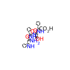 N[C@H](Cc1c[nH]c2ccccc12)C(=O)N[C@@H](Cc1ccccc1)C(=O)N1C[C@H](O)C[C@@H]1C(=O)N[C@@H](Cc1ccccc1)C(=O)O